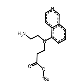 CC(C)(C)OC(=O)CCN(CCN)c1cccc2cnccc12